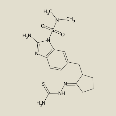 CN(C)S(=O)(=O)n1c(N)nc2ccc(CC3CCCC3=NNC(N)=S)cc21